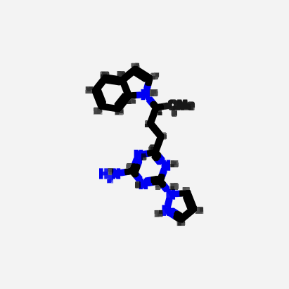 COC(CCc1nc(N)nc(-n2cccn2)n1)n1ccc2ccccc21